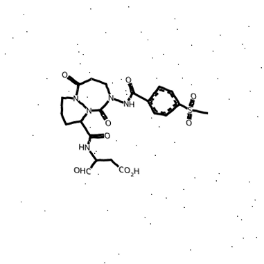 CS(=O)(=O)c1ccc(C(=O)NN2CCC(=O)N3CCCC(C(=O)NC(C=O)CC(=O)O)N3C2=O)cc1